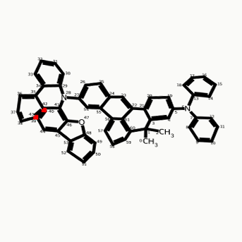 CC1(C)c2cc(N(c3ccccc3)c3ccccc3)ccc2-c2cc3ccc(N(c4ccccc4-c4ccccc4)c4cccc5c4oc4ccccc45)cc3c3cccc1c23